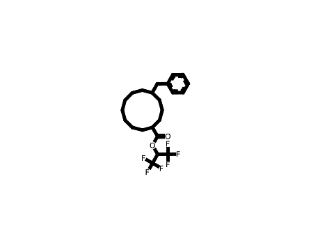 O=C(OC(C(F)(F)F)C(F)(F)F)C1CCCCCCCC(Cc2ccccc2)CCC1